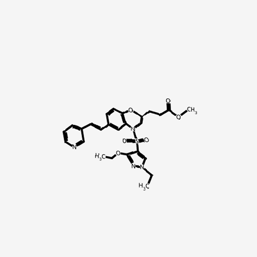 CCOc1nn(CC)cc1S(=O)(=O)N1C[C@H](CCC(=O)OC)Oc2ccc(/C=C/c3cccnc3)cc21